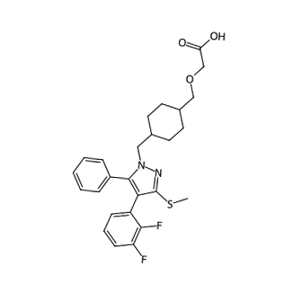 CSc1nn(CC2CCC(COCC(=O)O)CC2)c(-c2ccccc2)c1-c1cccc(F)c1F